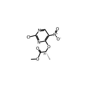 COC(=O)[C@@H](C)Oc1nc(Cl)ncc1[N+](=O)[O-]